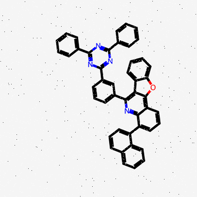 c1ccc(-c2nc(-c3ccccc3)nc(-c3cccc(-c4nc5c(-c6cccc7ccccc67)cccc5c5oc6ccccc6c45)c3)n2)cc1